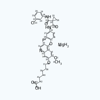 COc1cc2c(Oc3ccc(NC(=O)C4(C(=O)Nc5cccc(Cl)c5)CC4)cc3F)ccnc2cc1OCCCCCCC(=O)O.[MgH2]